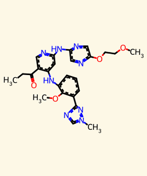 CCC(=O)c1cnc(Nc2cnc(OCCOC)cn2)cc1Nc1cccc(-c2ncn(C)n2)c1OC